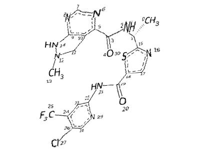 C[C@@H](NC(=O)c1ncnc2c1CN(C)N2)c1ncc(C(=O)Nc2cc(C(F)(F)F)c(Cl)cn2)s1